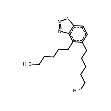 CCCCCCc1ccc2c(c1CCCCCC)N=N[N]2